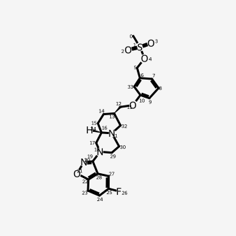 CS(=O)(=O)OCc1cccc(OC[C@@H]2CC[C@H]3CN(c4noc5ccc(F)cc45)CCN3C2)c1